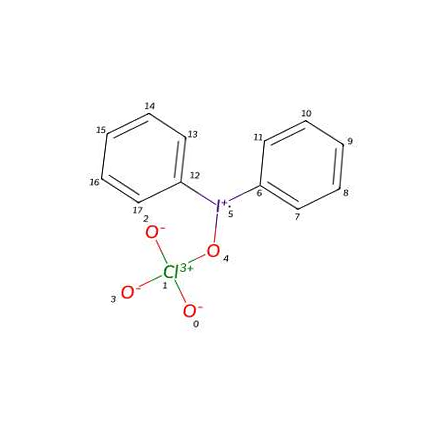 [O-][Cl+3]([O-])([O-])O[I+](c1ccccc1)c1ccccc1